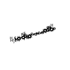 CN(C)c1ccc(-c2ccc(-c3nc4ccc(OCCOCCOCCOc5ccc6c(c5)CN(C5CCC(=O)NC5=O)C6=O)cc4s3)c(C(F)(F)F)c2)cn1